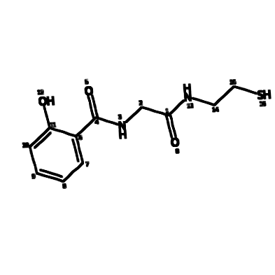 O=C(CNC(=O)c1ccccc1O)NCCS